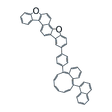 c1cccc(-c2cccc3ccccc23)c2ccccc2c(-c2ccc(-c3ccc4oc5c(ccc6c5ccc5oc7ccccc7c56)c4c3)cc2)cc1